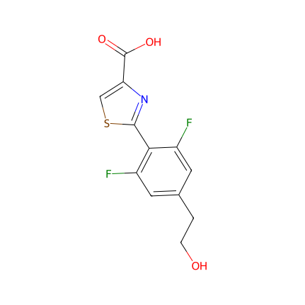 O=C(O)c1csc(-c2c(F)cc(CCO)cc2F)n1